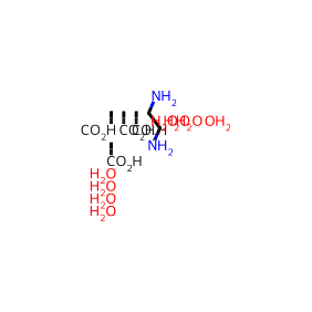 CC(=O)O.CC(=O)O.CC(=O)O.CC(=O)O.NCCN.O.O.O.O.O.O.O.O